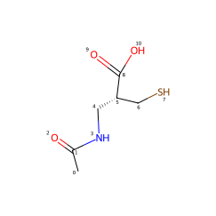 CC(=O)NC[C@@H](CS)C(=O)O